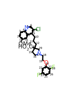 COc1ccc2ncc(Cl)c(CCCC3(C(=O)O)CCN(CCOc4cc(F)ccc4F)C3)c2c1